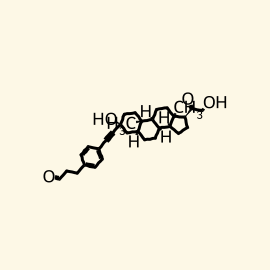 C[C@]12CC[C@](O)(C#Cc3ccc(CCC=O)cc3)C[C@H]1CC[C@@H]1[C@@H]2CC[C@]2(C)[C@@H](C(=O)CO)CC[C@@H]12